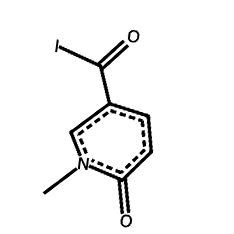 Cn1cc(C(=O)I)ccc1=O